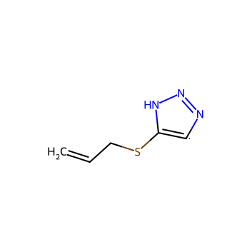 C=CCSc1[c]nn[nH]1